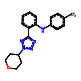 FC(F)(F)c1ccc(Nc2ccccc2-c2nnn(C3CCOCC3)n2)cc1